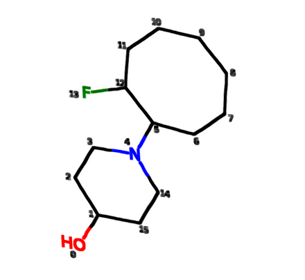 OC1CCN(C2CCCCCCC2F)CC1